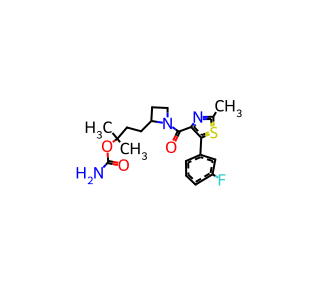 Cc1nc(C(=O)N2CCC2CCC(C)(C)OC(N)=O)c(-c2cccc(F)c2)s1